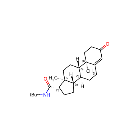 CC(C)(C)NC(=O)[C@H]1CC[C@H]2[C@@H]3CCC4=CC(=O)CC[C@]4(C)[C@H]3CC[C@]12C